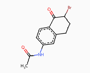 CC(=O)Nc1ccc2c(c1)CCC(Br)C2=O